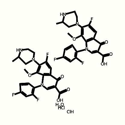 COc1c(N2CCNC(C)C2)c(F)cc2c(=O)c(C(=O)O)cn(-c3ccc(F)cc3F)c12.COc1c(N2CCNC(C)C2)c(F)cc2c(=O)c(C(=O)O)cn(-c3ccc(F)cc3F)c12.Cl.Cl.O